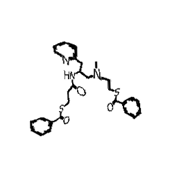 CN(CCSC(=O)c1ccccc1)CC(Cc1ccccn1)NC(=O)CCSC(=O)c1ccccc1